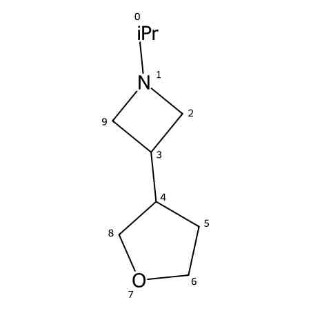 CC(C)N1CC(C2CCOC2)C1